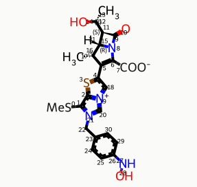 CSc1c2sc(C3=C(C(=O)[O-])N4C(=O)[C@H]([C@@H](C)O)[C@H]4[C@H]3C)c[n+]2cn1Cc1ccc(NO)cc1